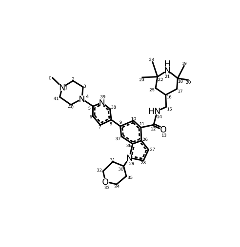 CN1CCN(c2ccc(-c3cc(C(=O)NCC4CC(C)(C)NC(C)(C)C4)c4ccn(C5CCOCC5)c4c3)cn2)CC1